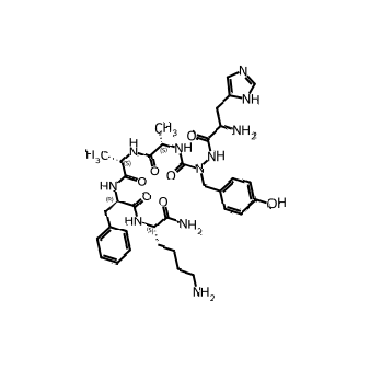 C[C@H](NC(=O)[C@H](C)NC(=O)N(Cc1ccc(O)cc1)NC(=O)C(N)Cc1cnc[nH]1)C(=O)N[C@H](Cc1ccccc1)C(=O)N[C@@H](CCCCN)C(N)=O